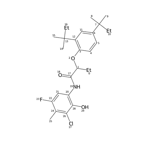 CCC(Oc1ccc(C(C)(C)CC)cc1C(C)(C)CC)C(=O)Nc1cc(F)c(C)c(Cl)c1O